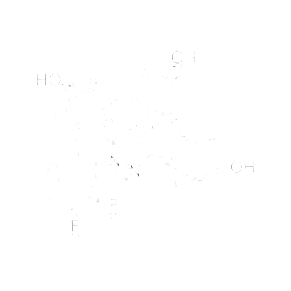 Oc1ccc(-c2nn(-c3cccc(F)c3F)c(-c3ccc(O)cc3)c2-c2ccc(O)cc2)cc1